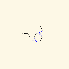 [CH2]CCC1CN(C(C)C)CCN1